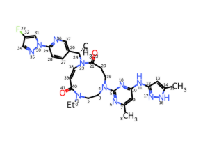 CCN1CCN(c2nc(C)cc(Nc3cc(C)[nH]n3)n2)CCC(=O)N([C@@H](C)c2ccc(-n3cc(F)cn3)nc2)/C=C\C1=O